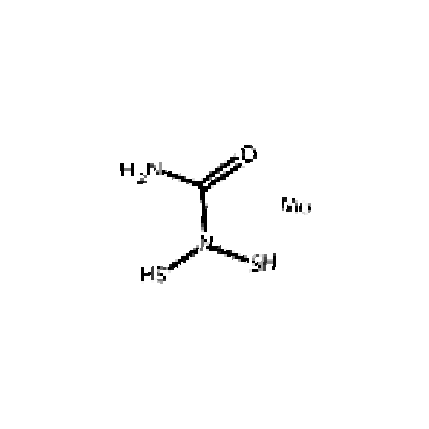 NC(=O)N(S)S.[Mo]